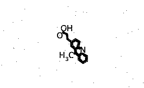 Cc1c2ccccc2nc2ccc(CCC(=O)O)cc12